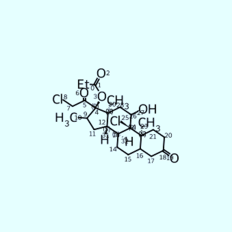 CCC(=O)O[C@]1(C(=O)CCl)C(C)C[C@H]2[C@@H]3CCC4CC(=O)CC[C@]4(C)[C@@]3(Cl)C(O)C[C@@]21C